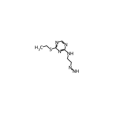 CCSc1ncnc(NCCN=N)n1